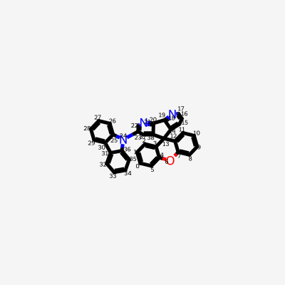 c1ccc2c(c1)Oc1ccccc1C21c2cccnc2-c2ncc(-n3c4ccccc4c4ccccc43)cc21